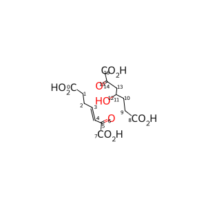 O=C(O)CC/C=C/C(=O)C(=O)O.O=C(O)CCC(O)CC(=O)C(=O)O